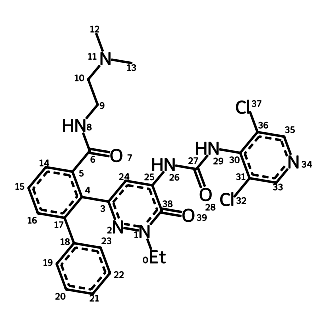 CCn1nc(-c2c(C(=O)NCCN(C)C)cccc2-c2ccccc2)cc(NC(=O)Nc2c(Cl)cncc2Cl)c1=O